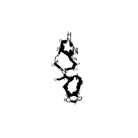 CC(c1ccc2c(c1)OCO2)N1CCc2c[nH]nc2CC1